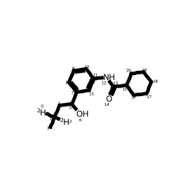 [2H]C([2H])(C)CC(O)c1cccc(NC(=O)C2CCCCC2)c1